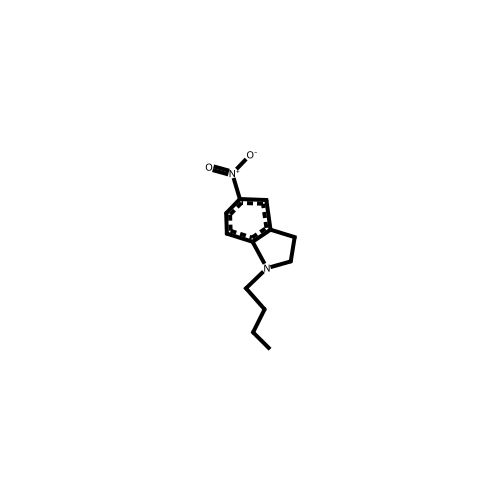 CCCCN1CCc2cc([N+](=O)[O-])ccc21